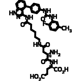 Cc1ccc(F)c(NC(=O)Nc2ccc(-c3cccc4[nH]nc(NC(=O)CCCCCNC(=O)C[C@H](N)C(=O)N[C@@H](CCC(=O)O)C(=O)O)c34)cc2)c1